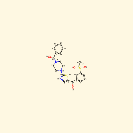 CS(=O)(=O)c1cccc(C(=O)c2cnc(N3CCN(C(=O)c4ccccc4)CC3)s2)c1